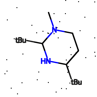 CN1CCC(C(C)(C)C)NC1C(C)(C)C